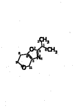 CC(C)c1nc2c(o1)CCOC2